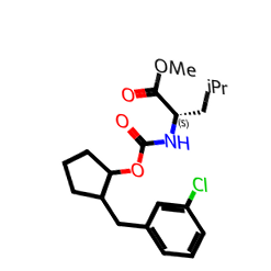 COC(=O)[C@H](CC(C)C)NC(=O)OC1CCCC1Cc1cccc(Cl)c1